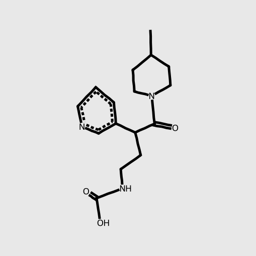 CC1CCN(C(=O)C(CCNC(=O)O)c2cccnc2)CC1